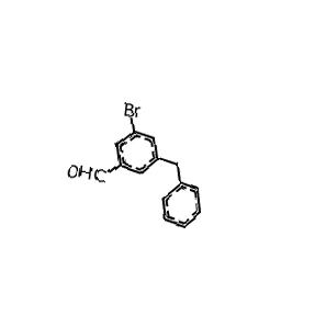 O=Cc1cc(Br)cc(Cc2ccccc2)c1